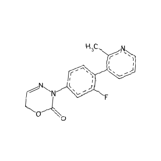 Cc1ncccc1-c1ccc(N2N=CCOC2=O)cc1F